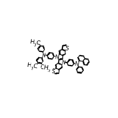 Cc1ccc(N(c2ccc(-n3c4cc5ccsc5cc4c4c3c3cc5sccc5cc3n4-c3ccc(N(c4ccccc4)c4cccc5ccccc45)cc3)cc2)c2ccc(C)c(C)c2)cc1